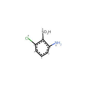 Nc1cccc(Cl)c1S(=O)(=O)O